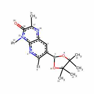 CCc1nc2c(cc1B1OC(C)(C)C(C)(C)O1)nc(C)c(=O)n2C(C)C